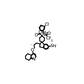 COC(=O)C1(N(C(=O)C(F)(F)F)c2cccc(Cl)c2)CCC2(CC1)c1cc(S)ccc1CC2C[C@@H](C)COc1ccnc2c1CCCC2